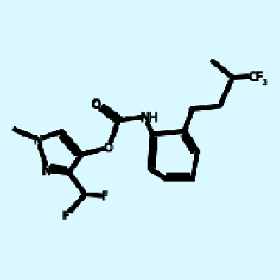 CC(CCc1ccccc1NC(=O)Oc1cn(C)nc1C(F)F)C(F)(F)F